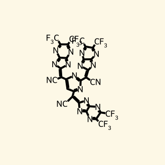 N#CC(=C1N=c2nc(C(F)(F)F)c(C(F)(F)F)nc2=N1)c1cc(C(C#N)=C2N=c3nc(C(F)(F)F)c(C(F)(F)F)nc3=N2)nc(C(C#N)=C2N=c3nc(C(F)(F)F)c(C(F)(F)F)nc3=N2)n1